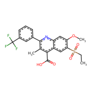 CCS(=O)(=O)c1cc2c(C(=O)O)c(C)c(-c3cccc(C(F)(F)F)c3)nc2cc1OC